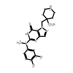 CCOC(=O)C1(Cn2ncc3nc(N(C)c4ccc(Cl)c(Cl)c4)[nH]c(=O)c32)CCNCC1